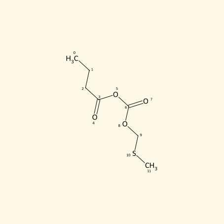 CCCC(=O)OC(=O)OCSC